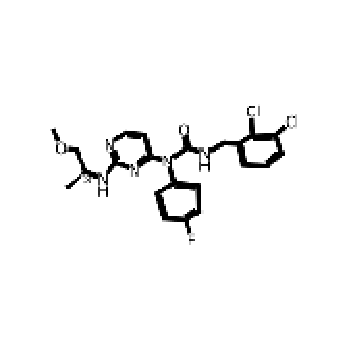 COC[C@H](C)Nc1nccc(N(C(=O)NCc2cccc(Cl)c2Cl)c2ccc(F)cc2)n1